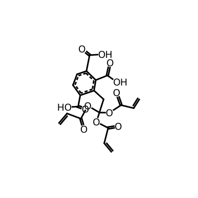 C=CC(=O)OC(Cc1c(C(=O)O)ccc(C(=O)O)c1C(=O)O)(OC(=O)C=C)OC(=O)C=C